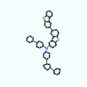 c1ccc(-c2ccc(N(c3ccc(-c4cccc(-c5ccccc5)c4)cc3)c3ccc4sc5ccc(-c6ccc7sc8ccccc8c7c6)cc5c4c3)cc2)cc1